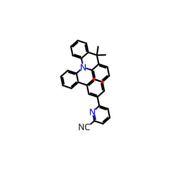 CC1(C)c2ccccc2N(c2ccccc2-c2cccc(-c3cccc(C#N)n3)c2)c2ccccc21